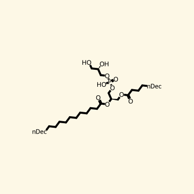 CCCCCCCCCCCCCCCCCCCCC(=O)O[C@H](COC(=O)CCCCCCCCCCCCC)COP(=O)(O)OC[C@@H](O)CO